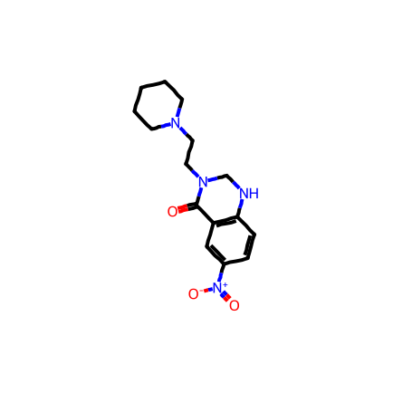 O=C1c2cc([N+](=O)[O-])ccc2NCN1CCN1CCCCC1